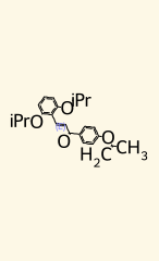 C=C(C)Oc1ccc(C(=O)/C=C/c2c(OC(C)C)cccc2OC(C)C)cc1